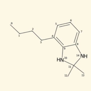 CCCCc1cccc2c1NC(C)(C)N2